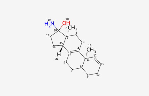 C[C@]12CCC3=C(CCC4CCC=C[C@]34C)[C@@H]1CCC2(N)O